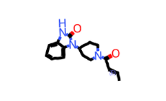 C/C=C/C(=O)N1CCC(n2c(=O)[nH]c3ccccc32)CC1